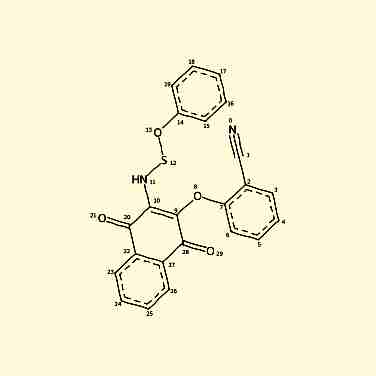 N#Cc1ccccc1OC1=C(NSOc2ccccc2)C(=O)c2ccccc2C1=O